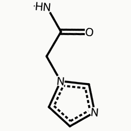 [NH]C(=O)Cn1ccnc1